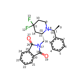 C[C@@H](c1ccccc1)N1CCC(F)(F)C[C@H]1CN1C(=O)c2ccccc2C1=O